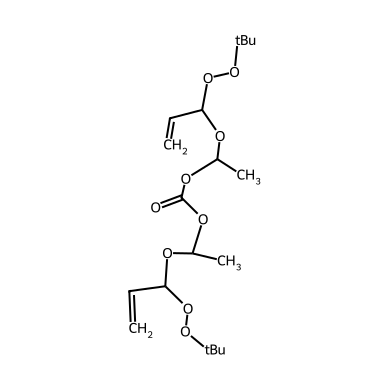 C=CC(OOC(C)(C)C)OC(C)OC(=O)OC(C)OC(C=C)OOC(C)(C)C